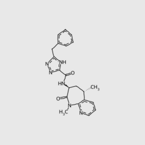 C[C@H]1C[C@H](NC(=O)c2nnc(Cc3ccccc3)[nH]2)C(=O)N(C)c2ncccc21